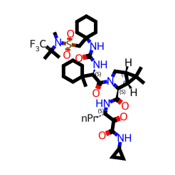 CCC[C@H](NC(=O)[C@@H]1[C@@H]2[C@H](CN1C(=O)[C@@H](NC(=O)NC1(CS(=O)(=O)N(C)C(C)(C)C(F)(F)F)CCCCC1)C1(C)CCCCC1)C2(C)C)C(=O)C(=O)NC1CC1